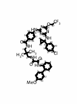 COc1ccc(-c2ccccc2NC(=O)C(=O)NCC(C)(C)CNC(=O)c2ccc(Nc3nc(NC4(c5ccc(Cl)cc5)CC4)nc(OCC(F)(F)F)n3)cc2)cc1